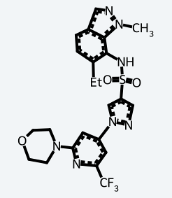 CCc1ccc2cnn(C)c2c1NS(=O)(=O)c1cnn(-c2cc(N3CCOCC3)nc(C(F)(F)F)c2)c1